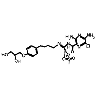 CS(=O)(=O)ONC(=NCCCCc1ccc(OCC(O)CO)cc1)NC(=O)c1nc(Cl)c(N)nc1N